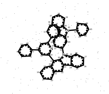 c1ccc(-c2cc(-c3ccccc3)nc(-c3c4ccccc4cc4c5ccccc5n(-c5ccc6c7ccccc7n(-c7ccccc7)c6c5)c34)c2)cc1